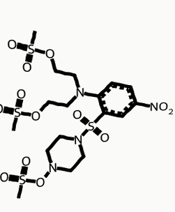 CS(=O)(=O)OCCN(CCOS(C)(=O)=O)c1ccc([N+](=O)[O-])cc1S(=O)(=O)N1CCN(OS(C)(=O)=O)CC1